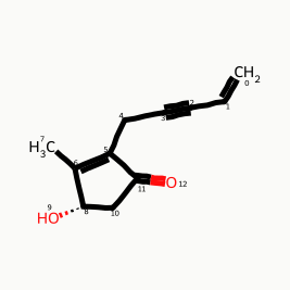 C=CC#CCC1=C(C)[C@@H](O)CC1=O